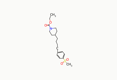 CCOC(=O)N1CCC(CCCCc2ccc(S(C)(=O)=O)cc2)CC1